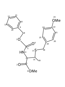 COC(=O)C(NC(=O)OCc1ccccc1)C(C)SCc1ccc(OC)cc1